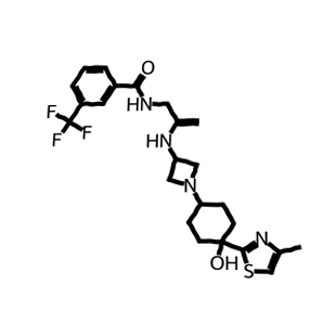 C=C(CNC(=O)c1cccc(C(F)(F)F)c1)NC1CN(C2CCC(O)(c3nc(C)cs3)CC2)C1